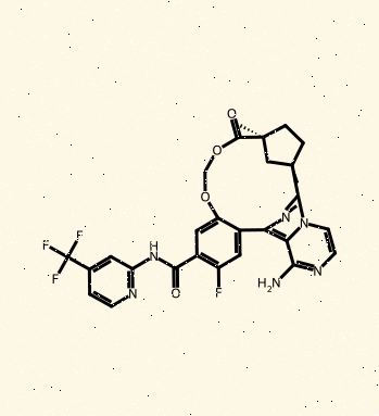 C[C@]12CC[C@@](C)(C1)c1nc(c3c(N)nccn13)-c1cc(F)c(C(=O)Nc3cc(C(F)(F)F)ccn3)cc1OCOC2=O